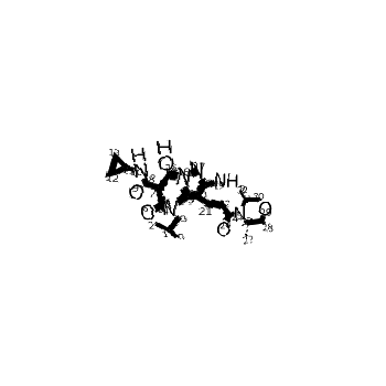 CC(C)Cn1c(=O)c(C(=O)NC2CC2)c(O)n2nc(N)c(/C=C/C(=O)N3[C@@H](C)COC[C@@H]3C)c12